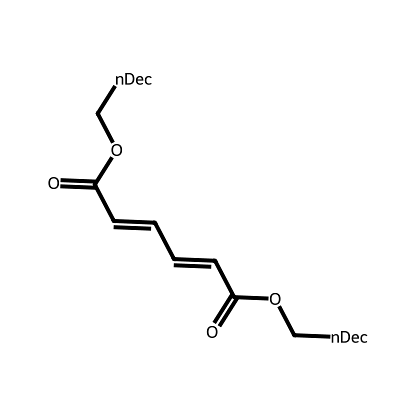 CCCCCCCCCCCOC(=O)C=CC=CC(=O)OCCCCCCCCCCC